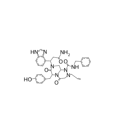 C=CCN1CC(=O)N2C(Cc3ccc(O)cc3)C(=O)N(C(CC(N)=O)c3cccc4[nH]cnc34)CC2N1C(=O)NCc1ccccc1